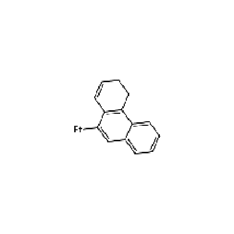 CCc1cc2ccccc2c2c1C=CCC2